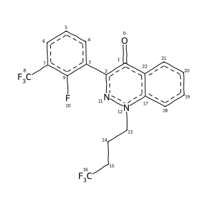 O=c1c(-c2cccc(C(F)(F)F)c2F)nn(CCCC(F)(F)F)c2ccccc12